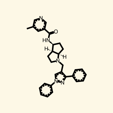 Cc1cncc(C(=O)N[C@H]2CC[C@@H]3[C@H]2CCN3Cc2cn(-c3ccccc3)nc2-c2ccccc2)c1